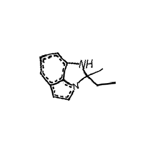 CCC1(C)Nc2cccc3ccn1c23